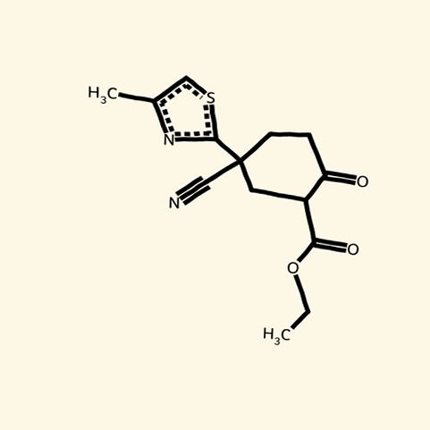 CCOC(=O)C1CC(C#N)(c2nc(C)cs2)CCC1=O